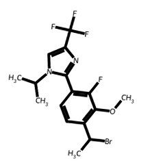 COc1c(C(C)Br)ccc(-c2nc(C(F)(F)F)cn2C(C)C)c1F